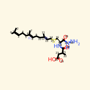 CC(C)=CCC/C(C)=C/CC/C(C)=C/CSC[C@H](NC(=O)C(C)CC(=O)O)C(=O)NN